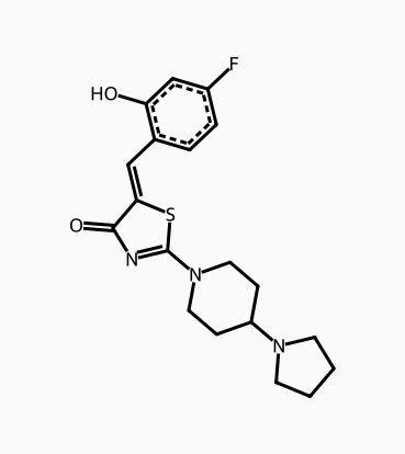 O=C1N=C(N2CCC(N3CCCC3)CC2)S/C1=C\c1ccc(F)cc1O